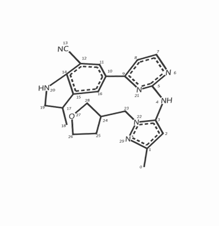 Cc1cc(Nc2nccc(-c3cc(C#N)c4c(c3)C(C)CN4)n2)n(CC2CCOC2)n1